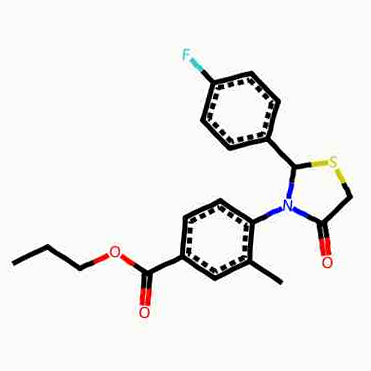 CCCOC(=O)c1ccc(N2C(=O)CSC2c2ccc(F)cc2)c(C)c1